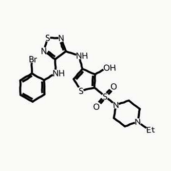 CCN1CCN(S(=O)(=O)c2scc(Nc3nsnc3Nc3ccccc3Br)c2O)CC1